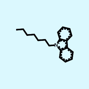 CCCCCCCn1c2ccccc2c2ccccc21